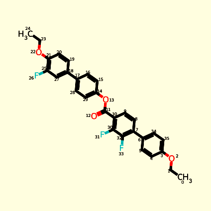 CCOc1ccc(-c2ccc(C(=O)Oc3ccc(-c4ccc(OCC)c(F)c4)cc3)c(F)c2F)cc1